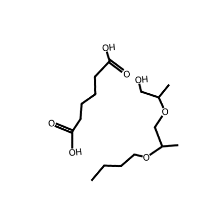 CCCCOC(C)COC(C)CO.O=C(O)CCCCC(=O)O